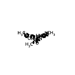 C=CCn1c(=O)c2cnc(Nc3ccc4cn(C)nc4c3)nc2n1-c1cccc(OC2CCN(C)CC2)n1